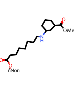 CCCCCCCCCOC(=O)CCCCCCCNC1CCCC(C(=O)OC)C1